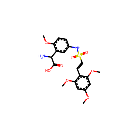 COc1cc(OC)c(C=CS(=O)(=O)Nc2ccc(OC)c(C(N)C(=O)O)c2)c(OC)c1